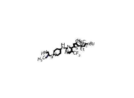 C/C=C(\C=N)SN1CCC(Nc2ncc(C(F)(F)F)c(-c3cc(C)c(C(C)(CC)CC(C)CCCC)s3)n2)CC1